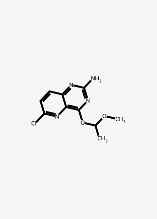 COC(C)Oc1nc(N)nc2ccc(Cl)nc12